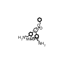 COc1cc(C2CN(C(=O)OCc3ccccc3)CCN2c2ccc(CCN)c(OC)c2)ccc1CCN